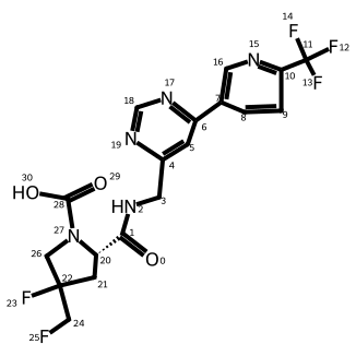 O=C(NCc1cc(-c2ccc(C(F)(F)F)nc2)ncn1)[C@@H]1CC(F)(CF)CN1C(=O)O